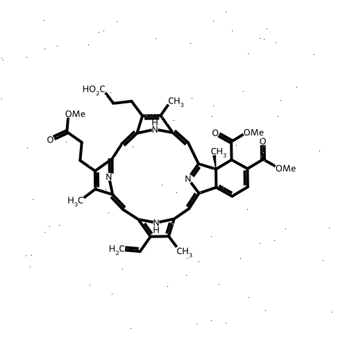 C=Cc1c(C)c2cc3nc(cc4[nH]c(cc5nc(cc1[nH]2)C(C)=C5CCC(=O)OC)c(CCC(=O)O)c4C)[C@@]1(C)C3=CC=C(C(=O)OC)C1C(=O)OC